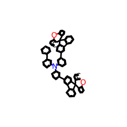 c1ccc(-c2cccc(N(c3cccc(-c4ccc5c(c4)-c4ccccc4C54c5ccccc5Oc5ccccc54)c3)c3cccc(-c4ccc5c(c4)-c4ccccc4C54c5ccccc5Oc5ccccc54)c3)c2)cc1